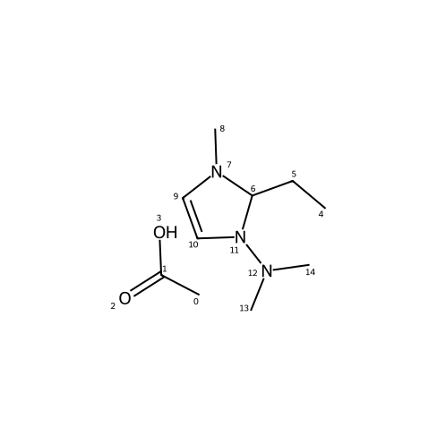 CC(=O)O.CCC1N(C)C=CN1N(C)C